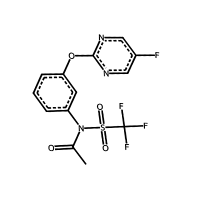 CC(=O)N(c1cccc(Oc2ncc(F)cn2)c1)S(=O)(=O)C(F)(F)F